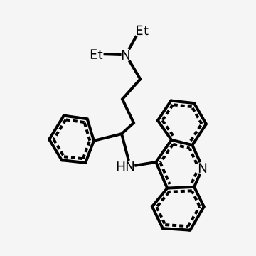 CCN(CC)CCCC(Nc1c2ccccc2nc2ccccc12)c1ccccc1